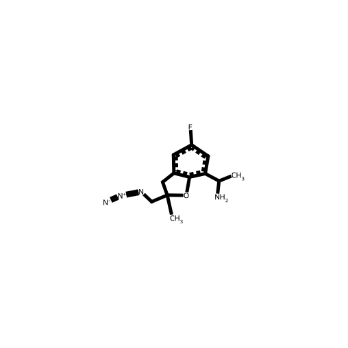 CC(N)c1cc(F)cc2c1OC(C)(CN=[N+]=[N-])C2